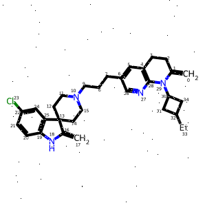 C=C1CCc2cc(CCCN3CCC4(CC3)C(=C)Nc3ccc(Cl)cc34)cnc2N1C1CC(CC)C1